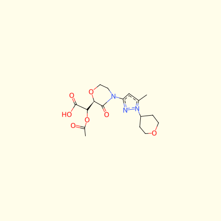 CC(=O)OC(C(=O)O)[C@H]1OCCN(c2cc(C)n(C3CCOCC3)n2)C1=O